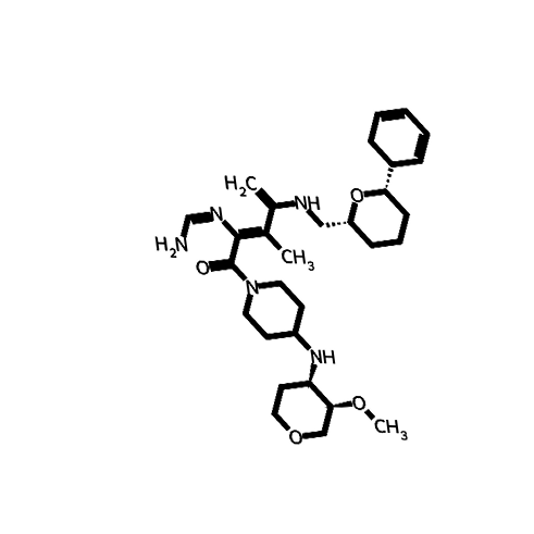 C=C(NC[C@H]1CCC[C@@H](C2C=CC=CC2)O1)/C(C)=C(\N=C/N)C(=O)N1CCC(N[C@@H]2CCOC[C@@H]2OC)CC1